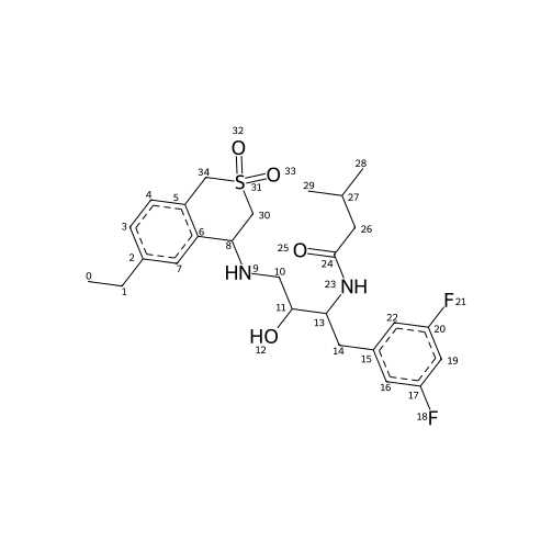 CCc1ccc2c(c1)C(NCC(O)C(Cc1cc(F)cc(F)c1)NC(=O)CC(C)C)CS(=O)(=O)C2